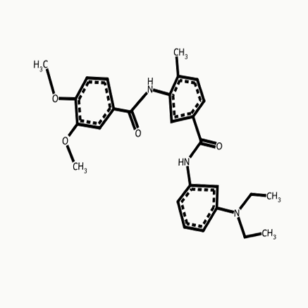 CCN(CC)c1cccc(NC(=O)c2ccc(C)c(NC(=O)c3ccc(OC)c(OC)c3)c2)c1